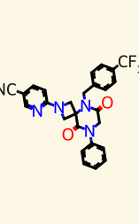 N#Cc1ccc(N2CC3(C2)C(=O)N(c2ccccc2)CC(=O)N3Cc2ccc(C(F)(F)F)cc2)nc1